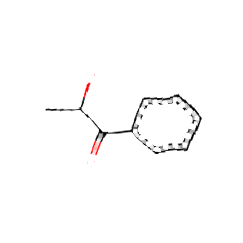 CC([O])C(=O)c1ccccc1